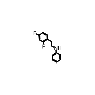 Fc1ccc(CCNc2cc[c]cc2)c(F)c1